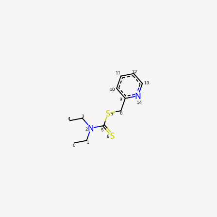 CCN(CC)C(=S)SCc1ccccn1